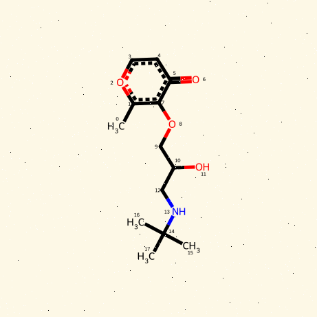 Cc1occc(=O)c1OCC(O)CNC(C)(C)C